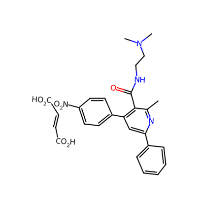 Cc1nc(-c2ccccc2)cc(-c2ccc([N+](=O)[O-])cc2)c1C(=O)NCCN(C)C.O=C(O)C=CC(=O)O